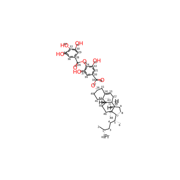 CC(C)[C@H](C)CC[C@@H](C)[C@H]1CC[C@H]2[C@@H]3CC=C4C[C@@H](OC(=O)c5cc(O)c(OC(=O)c6cc(O)c(O)c(O)c6)c(O)c5)CC[C@]4(C)[C@H]3CC[C@]12C